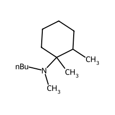 CCCCN(C)C1(C)CCCCC1C